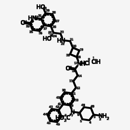 Cl.Cl.NC1CCC(N(C(=O)O)c2cc(CCCC(=O)NC3CC(CNC[C@H](O)c4ccc(O)c5[nH]c(=O)ccc45)C3)ccc2-c2ccccc2)CC1